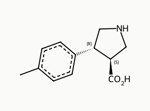 Cc1ccc([C@@H]2CNC[C@H]2C(=O)O)cc1